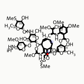 C=C(Nc1cc(OC)c(OC)cc1C(=O)O[C@H]1C[C@H](O[C@@H]2C(=O)C(NC(=O)OC)=C3/C(=C\CSSSC)[C@]2(O)/C=C\C#C[C@@H]3O[C@@H]2O[C@@H](C)[C@@H](NO[C@H]3C[C@H](O)[C@H](SC)[C@@H](C)O3)[C@H](O)[C@H]2O[C@H]2C[C@H](OC)[C@@H](NC(C)C)CO2)O[C@@H](C)[C@@H]1O)C(=C)OC